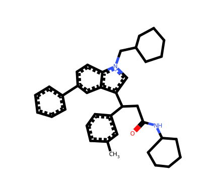 Cc1cccc(C(CC(=O)NC2CCCCC2)c2cn(CC3CCCCC3)c3ccc(-c4ccccc4)cc23)c1